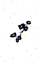 c1ccc(-n2c3ccccc3c3ccc(-c4nnc(-c5cccc6c5c5ccccc5n6-c5ccccc5)s4)cc32)cc1